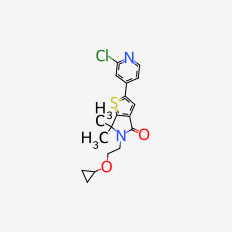 CC1(C)c2sc(-c3ccnc(Cl)c3)cc2C(=O)N1CCOC1CC1